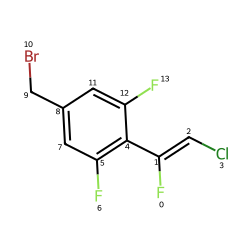 F/C(=C\Cl)c1c(F)cc(CBr)cc1F